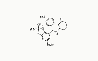 COc1cc(CN[C@H]2CCCN[C@H]2c2ccccc2)c2c(c1)CC(C)(C)O2.Cl